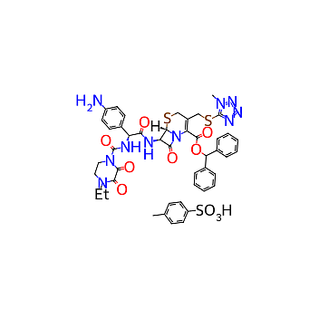 CCN1CCN(C(=O)N[C@H](C(=O)N[C@@H]2C(=O)N3C(C(=O)OC(c4ccccc4)c4ccccc4)=C(CSc4nnnn4C)CS[C@@H]23)c2ccc(N)cc2)C(=O)C1=O.Cc1ccc(S(=O)(=O)O)cc1